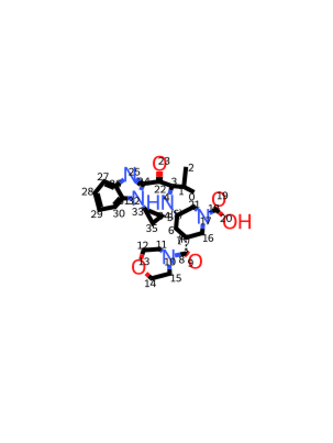 CC(C)C(N[C@H]1C[C@@H](C(=O)N2CCOCC2)CN(C(=O)O)C1)C(=O)c1nc2ccccc2n1C1CC1